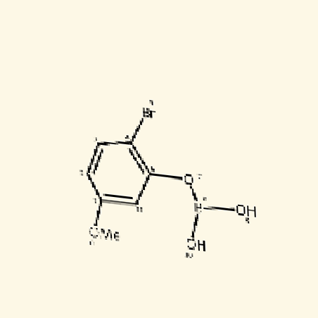 COc1ccc(Br)c(OB(O)O)c1